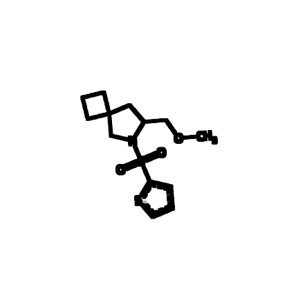 COCC1CC2(CCC2)CN1S(=O)(=O)c1cccs1